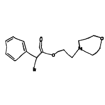 O=C(OCCN1CCOCC1)C(Br)c1ccccc1